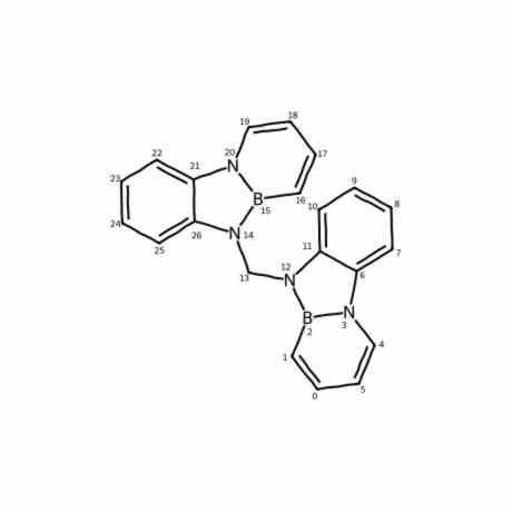 C1=CB2N(C=C1)c1ccccc1N2CN1B2C=CC=CN2c2ccccc21